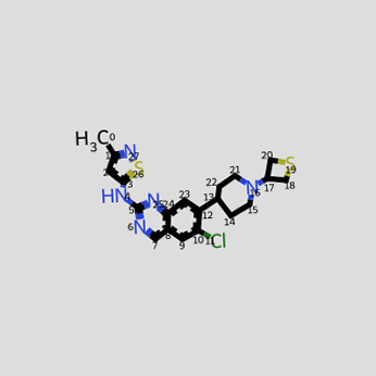 Cc1cc(Nc2ncc3cc(Cl)c(C4CCN(C5CSC5)CC4)cc3n2)sn1